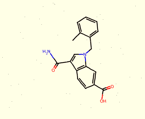 Cc1ccccc1Cn1cc(C(N)=O)c2ccc(C(=O)O)cc21